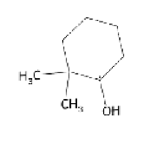 CC1(C)CCCC[C]1O